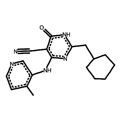 Cc1ccncc1Nc1nc(CC2CCCCC2)[nH]c(=O)c1C#N